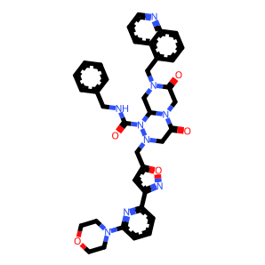 O=C1CN2C(=O)CN(Cc3cc(-c4cccc(N5CCOCC5)n4)no3)N(C(=O)NCc3ccccc3)C2CN1Cc1cccc2ncccc12